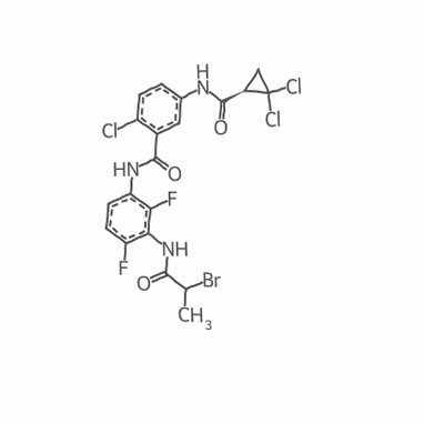 CC(Br)C(=O)Nc1c(F)ccc(NC(=O)c2cc(NC(=O)[C@H]3CC3(Cl)Cl)ccc2Cl)c1F